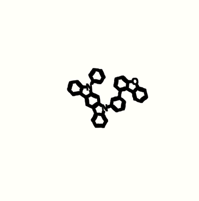 c1ccc(-n2c3ccccc3c3cc4c5ccccc5n(-c5cccc(-c6cccc7oc8ccccc8c67)c5)c4cc32)cc1